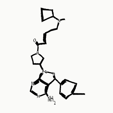 Cc1ccc(-c2nn(C3CCN(C(=O)C=CCN(C)C4CCC4)C3)c3ncnc(N)c23)cc1